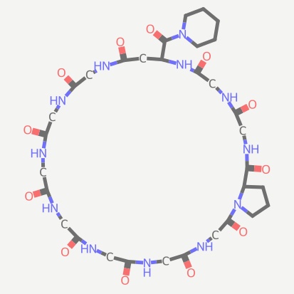 O=C1CNC(=O)CNC(=O)CNC(=O)CC(C(=O)N2CCCCC2)NC(=O)CNC(=O)CNC(=O)C2CCCN2C(=O)CNC(=O)CNC(=O)CNC(=O)CN1